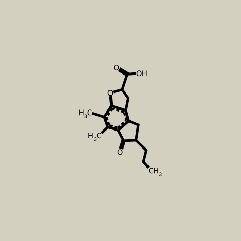 CCCC1Cc2c3c(c(C)c(C)c2C1=O)OC(C(=O)O)C3